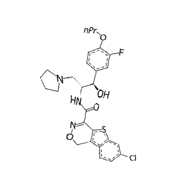 CCCOc1ccc([C@@H](O)[C@@H](CN2CCCC2)NC(=O)C2=NOCc3c2sc2cc(Cl)ccc32)cc1F